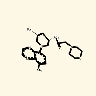 N#Cc1ccc(N2C[C@@H](NC(=O)CN3CCOCC3)C[C@@H](C(F)(F)F)C2)c2nccnc12